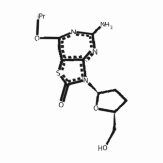 CC(C)Oc1nc(N)nc2c1sc(=O)n2[C@H]1CC[C@@H](CO)O1